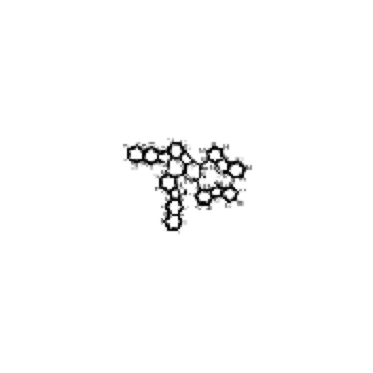 c1ccc2cc3c(cc2c1)oc1c2c(ccc13)-n1c3cc4ccccc4cc3c3ccc4c(c31)C1=C2N=C(c2cccc3c2sc2ccccc23)N=C(c2cccc3c2sc2ccccc23)C14